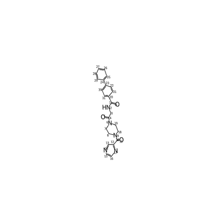 O=C(NCC(=O)N1CCN(C(=O)c2cnccn2)CC1)c1ccc(-c2ccccc2)cc1